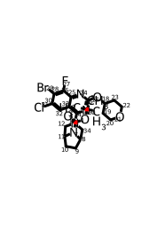 CC(C)(C)OC(=O)N1C2CCC1CN(c1nc(OC3CCOCC3)nc3c(F)c(Br)c(Cl)cc13)C2